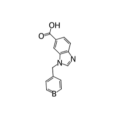 O=C(O)c1ccc2ncn(Cc3ccbcc3)c2c1